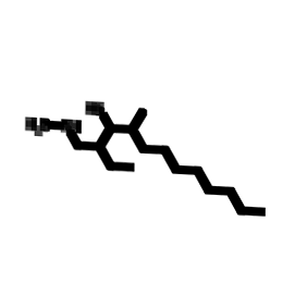 BNCC(CC)C(S)C(C)CCCCCCCC